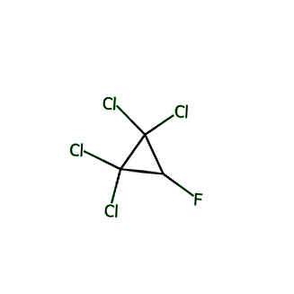 FC1C(Cl)(Cl)C1(Cl)Cl